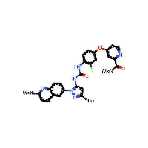 CNC(=O)c1cc(Oc2ccc(NC(=O)Nc3cc(C(C)(C)C)nn3-c3ccc4nc(NC)ccc4c3)c(F)c2)ccn1